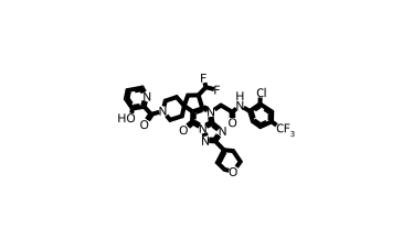 O=C(Cn1c2c(c(=O)n3nc(C4=CCOCC4)nc13)C1(CCN(C(=O)c3ncccc3O)CC1)CC2C(F)F)Nc1ccc(C(F)(F)F)cc1Cl